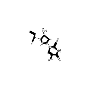 C=CC(I)[C@H]1O[C@@H](n2cc(Br)c(=O)[nH]c2=O)C[C@@H]1O